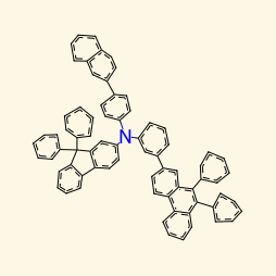 c1ccc(-c2c(-c3ccccc3)c3cc(-c4cccc(N(c5ccc(-c6ccc7ccccc7c6)cc5)c5ccc6c(c5)C(c5ccccc5)(c5ccccc5)c5ccccc5-6)c4)ccc3c3ccccc23)cc1